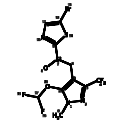 Cn1nc(C(F)(F)F)c(C[S+]([O-])c2ncc(Br)s2)c1OC(F)F